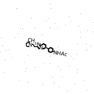 CC(=O)Nc1ccc(-c2ccc3nc(CCN4CCC[C@H]4C)cn3c2)cc1